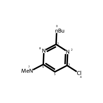 CCCCc1nc(Cl)cc(NC)n1